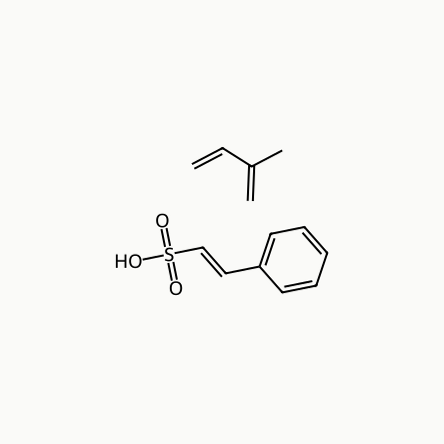 C=CC(=C)C.O=S(=O)(O)C=Cc1ccccc1